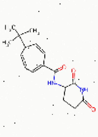 CC(C)(C)C1C=CC=C(C(=O)NC2CCC(=O)NC2=O)C=C1